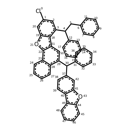 Clc1cc(C(Cc2ccccc2)c2ccccc2)c2c(c1)oc1c3ccccc3c(C(c3ccccc3)c3ccc4c(c3)oc3ccccc34)cc12